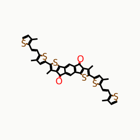 Cc1ccsc1/C=C/c1sc(-c2sc3c(c2C)c(=O)c2cc4c(cc23)c(=O)c2c(C)c(-c3cc(C)c(/C=C/c5sccc5C)s3)sc24)cc1C